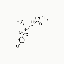 CCCN(CCCNC(=O)NC)S(=O)(=O)c1ccc(Cl)nc1